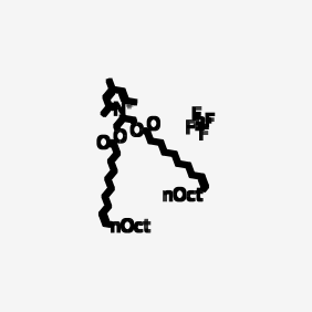 CCCCCCCC/C=C\CCCCCCCC(=O)OCC(COC(=O)CCCCCCC/C=C\CCCCCCCC)[n+]1c(C)cc(C)cc1C.F[B-](F)(F)F